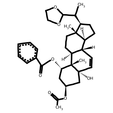 CC(=O)O[C@H]1C[C@H](OC(=O)c2ccccc2)[C@]2(C)[C@H]3CC[C@]4(C)[C@@H](C(C)C5OCCO5)CC[C@H]4[C@@H]3C=C[C@@]2(O)C1